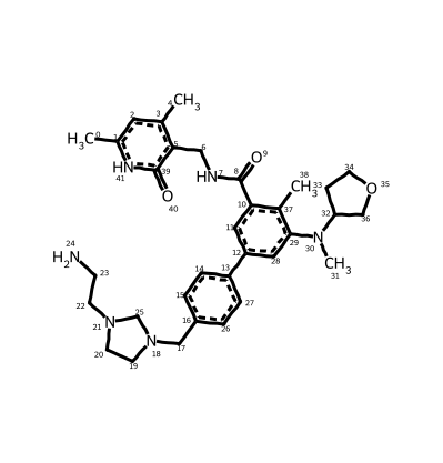 Cc1cc(C)c(CNC(=O)c2cc(-c3ccc(CN4CCN(CCN)C4)cc3)cc(N(C)C3CCOC3)c2C)c(=O)[nH]1